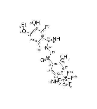 CCOc1cc2c(c(F)c1O)C(=N)N(CC(=O)c1cc(N)c(S(F)(F)(F)(F)F)cc1C)C2